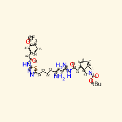 CC(C)(C)OC(=O)N1Cc2cccc(CC(=O)N/C(N)=C/C=C(\N)CCCCc3nnc(NC(=O)Cc4cccc(OC(F)(F)F)c4)s3)c2C1